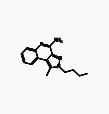 CCCCn1nc2c(N)nc3ccccc3c2c1C